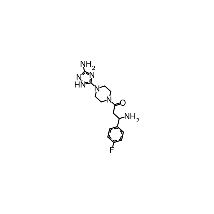 Nc1n[nH]c(N2CCN(C(=O)CC(N)c3ccc(F)cc3)CC2)n1